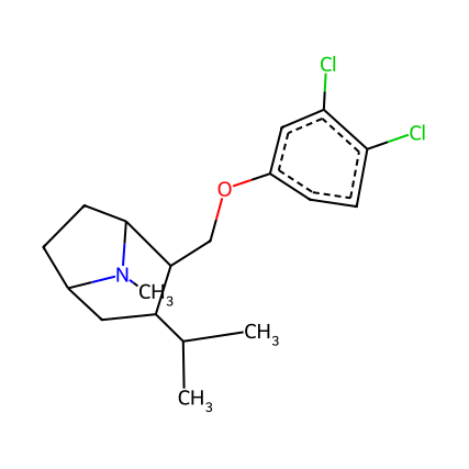 CC(C)C1CC2CCC(C1COc1ccc(Cl)c(Cl)c1)N2C